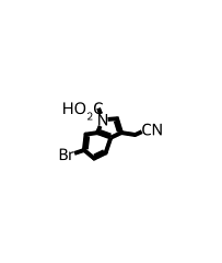 N#CCc1cn(C(=O)O)c2cc(Br)ccc12